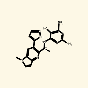 C[C@H](Nc1nc(N)nc(N)c1C#N)c1nc2ccn(C)c2cc1-c1ccn[nH]1